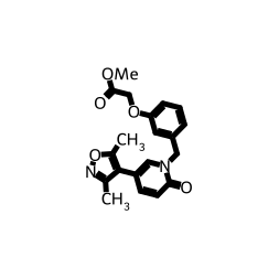 COC(=O)COc1cccc(Cn2cc(-c3c(C)noc3C)ccc2=O)c1